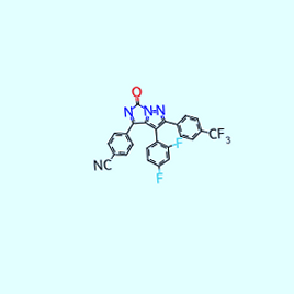 N#Cc1ccc(C2=NC(=O)n3nc(-c4ccc(C(F)(F)F)cc4)c(-c4ccc(F)cc4F)c32)cc1